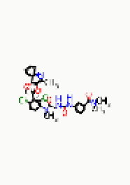 COc1c(OCc2c(Cl)ccc(N(C)C(=O)CNC(=O)Nc3cccc(C(=O)N(C)C)c3)c2Cl)c(C)nc2ccccc12